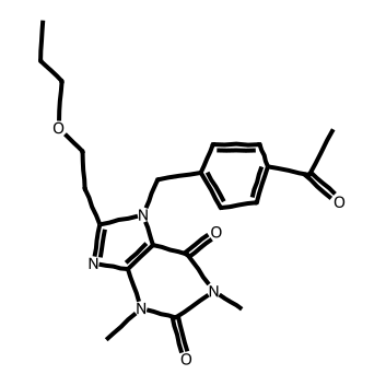 CCCOCCc1nc2c(c(=O)n(C)c(=O)n2C)n1Cc1ccc(C(C)=O)cc1